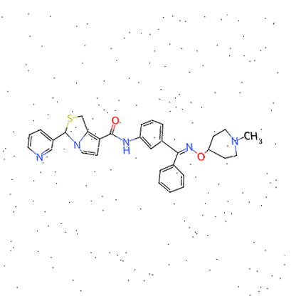 CN1CCC(ON=C(c2ccccc2)c2cccc(NC(=O)c3ccn4c3CSC4c3cccnc3)c2)CC1